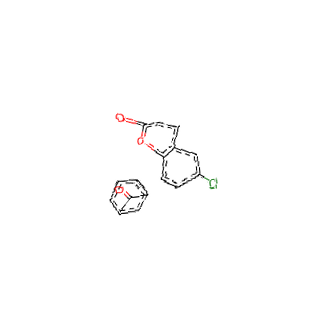 O=C1c2cccc1c2.O=c1ccc2cc(Cl)ccc2o1